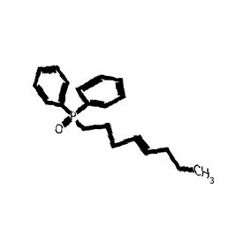 CCCC=CCCCP(=O)(c1ccccc1)c1ccccc1